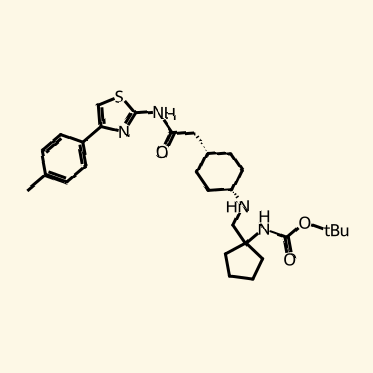 Cc1ccc(-c2csc(NC(=O)C[C@H]3CC[C@@H](NCC4(NC(=O)OC(C)(C)C)CCCC4)CC3)n2)cc1